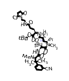 CN[C@H](C(=O)NC(C(=O)N(C)[C@H](/C=C(\C)C(=O)N[C@H](CCC(=O)NCCN1C(=O)C=CC1=O)C(=O)OC(C)(C)C)C(C)C)C(C)(C)C)C(C)(C)c1cccc(C#N)c1